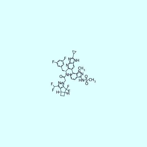 Cn1nc(NS(C)(=O)=O)c2cccc(-c3cc4[nH]c(C5CC5)nc4nc3[C@H](Cc3cc(F)cc(F)c3)NC(=O)Cn3nc(C(F)F)c4c3C(F)(F)[C@@H]3CC[C@H]43)c21